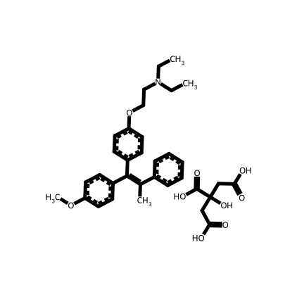 CCN(CC)CCOc1ccc(C(=C(C)c2ccccc2)c2ccc(OC)cc2)cc1.O=C(O)CC(O)(CC(=O)O)C(=O)O